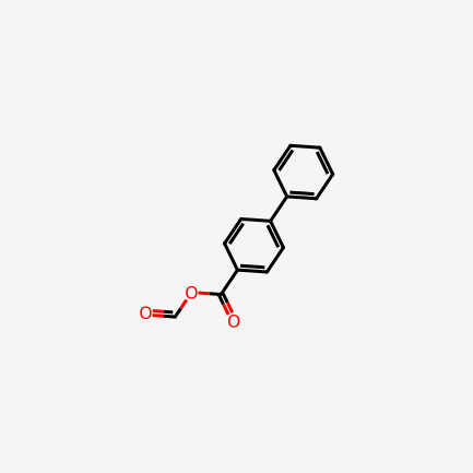 O=COC(=O)c1ccc(-c2ccccc2)cc1